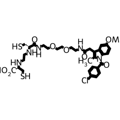 COc1ccc2c(c1)c(CC(=O)NCCOCCOCCNC(=O)[C@@H](CS)NCCN[C@H](CS)C(=O)O)c(C)n2C(=O)c1ccc(Cl)cc1